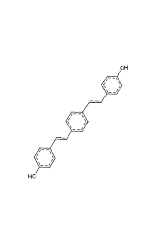 Oc1ccc(/C=C/c2ccc(/C=C/c3ccc(O)cc3)cc2)cc1